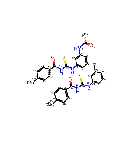 CCC(=O)Nc1cccc(NC(=S)NC(=O)c2ccc(C(C)(C)C)cc2)c1.Cc1cccc(NC(=S)NC(=O)c2ccc(C(C)(C)C)cc2)c1